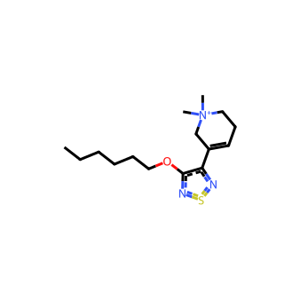 CCCCCCOc1nsnc1C1=CCC[N+](C)(C)C1